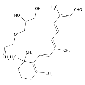 C=CCOCC(O)CO.CC(C=CC=C(C)C=CC1=C(C)CCCC1(C)C)=CC=O